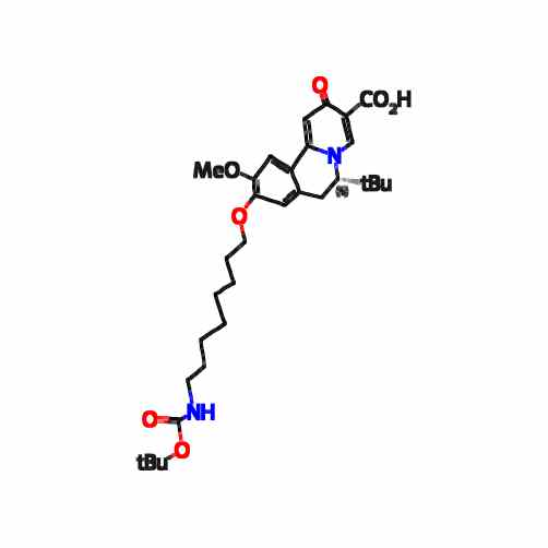 COc1cc2c(cc1OCCCCCCCCNC(=O)OC(C)(C)C)C[C@@H](C(C)(C)C)n1cc(C(=O)O)c(=O)cc1-2